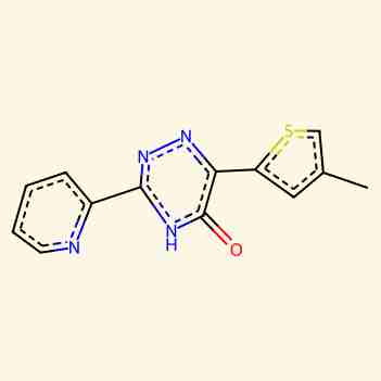 Cc1csc(-c2nnc(-c3ccccn3)[nH]c2=O)c1